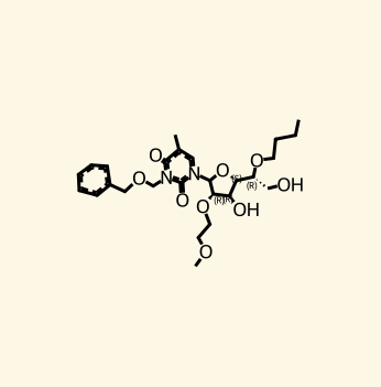 CCCCO[C@H](CO)[C@H]1OC(n2cc(C)c(=O)n(COCc3ccccc3)c2=O)[C@H](OCCOC)[C@@H]1O